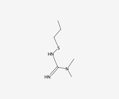 CCCSNC(=N)N(C)C